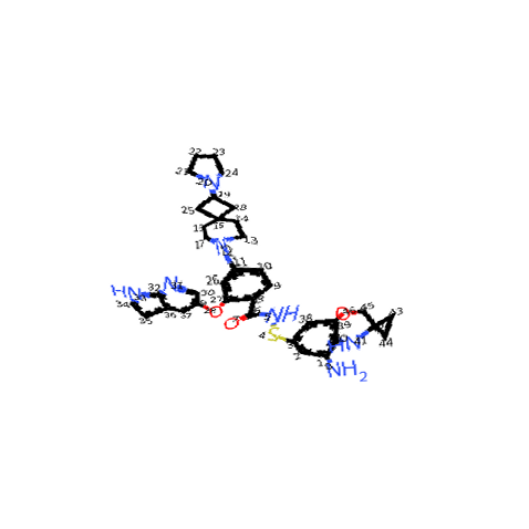 Nc1cc(SNC(=O)c2ccc(N3CCC4(CC3)CC(N3CCCC3)C4)cc2Oc2cnc3[nH]ccc3c2)cc2c1NC1(CC1)CO2